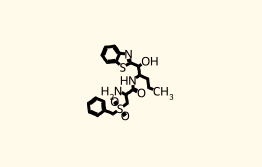 CCCC(NC(=O)C(N)CS(=O)(=O)Cc1ccccc1)C(O)c1nc2ccccc2s1